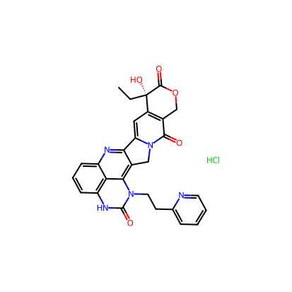 CC[C@@]1(O)C(=O)OCc2c1cc1n(c2=O)Cc2c-1nc1cccc3c1c2N(CCc1ccccn1)C(=O)N3.Cl